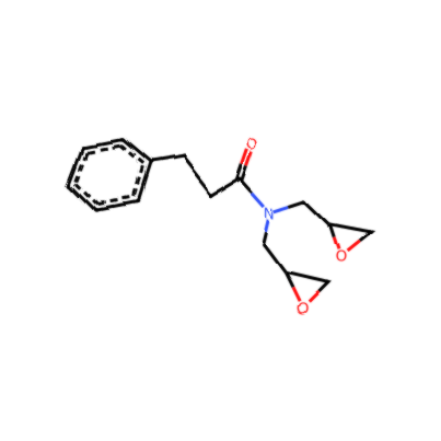 O=C(CCc1ccccc1)N(CC1CO1)CC1CO1